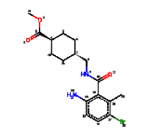 COC(=O)[C@H]1CC[C@H](CNC(=O)c2c(N)ccc(Br)c2C)CC1